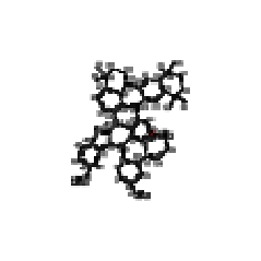 CC(C)(C)c1ccc(N2c3cc(C(C)(C)C)cc4c3B(c3ccc5c6c3N4c3cc4c(cc3C6(C)CCC5(C)C)C(C)(C)CCC4(C)C)c3sc4ccc(C(C)(C)C)cc4c32)c(-c2ccccc2)c1